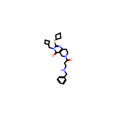 O=C(CCNCc1ccccc1)N1CCc2nc(SC3CCC3)n(CC3CCC3)c(=O)c2C1